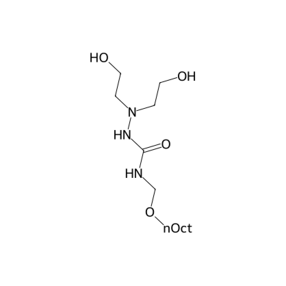 CCCCCCCCOCNC(=O)NN(CCO)CCO